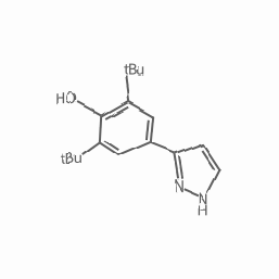 CC(C)(C)c1cc(-c2cc[nH]n2)cc(C(C)(C)C)c1O